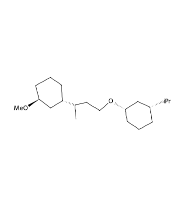 CO[C@H]1CCC[C@H](C(C)CCO[C@H]2CCC[C@@H](C(C)C)C2)C1